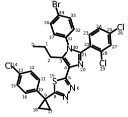 CCCc1c(-c2nnc(C3(c4ccc(Cl)cc4)CC3)s2)nc(-c2ccc(Cl)cc2Cl)n1-c1ccc(Br)cc1